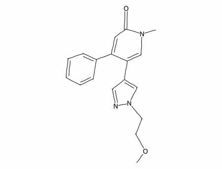 COCCn1cc(-c2cn(C)c(=O)cc2-c2ccccc2)cn1